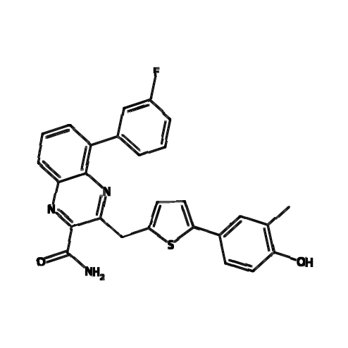 Cc1cc(-c2ccc(Cc3nc4c(-c5cccc(F)c5)cccc4nc3C(N)=O)s2)ccc1O